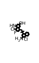 CNc1cc(O)cc2c(CC(C)(C)c3cc(N)c(Cl)c4ccccc34)cc(F)c(Cl)c12